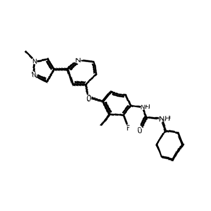 Cc1c(Oc2ccnc(-c3cnn(C)c3)c2)ccc(NC(=O)NC2CCCCC2)c1F